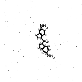 Nc1ccc2c(c1)CCC2C(=O)C1CCc2cc(N)ccc21